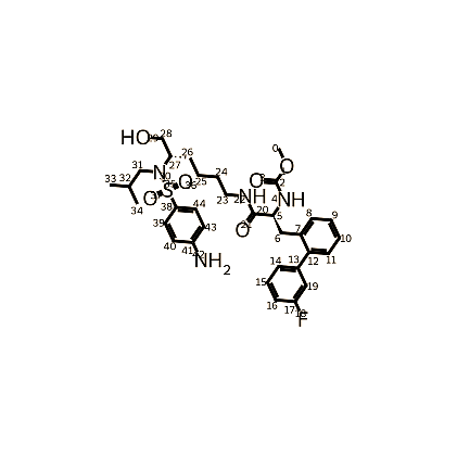 COC(=O)N[C@@H](Cc1ccccc1-c1cccc(F)c1)C(=O)NCCCC[C@@H](CO)N(CC(C)C)S(=O)(=O)c1ccc(N)cc1